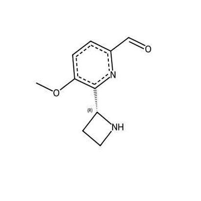 COc1ccc(C=O)nc1[C@H]1CCN1